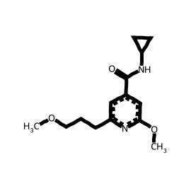 COCCCc1cc(C(=O)NC2CC2)cc(OC)n1